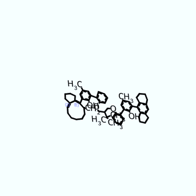 C=C1CCCCC/C=C2/CCCC/C2=C/1c1cc(C)cc(-c2ccccc2OCC(COc2ccccc2-c2cc(C)cc(-c3c4c(cc5c3CCCC5)CCCC4)c2O)C(C)(C)C)c1O